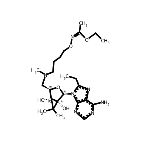 CCOC(C)=NOCCCCN(C)C[C@H]1O[C@@H](n2c(CC)nc3c(N)ncnc32)[C@@]2(O)C(C)(C)[C@@]12O